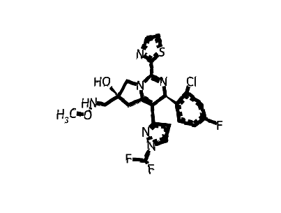 CONC[C@@]1(O)CC2=C(c3ccn(C(F)F)n3)[C@H](c3ccc(F)cc3Cl)N=C(c3nccs3)N2C1